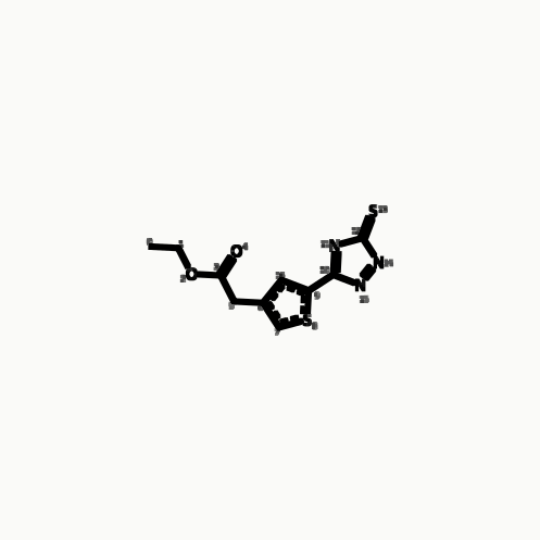 CCOC(=O)Cc1csc(C2=NC(=S)N=N2)c1